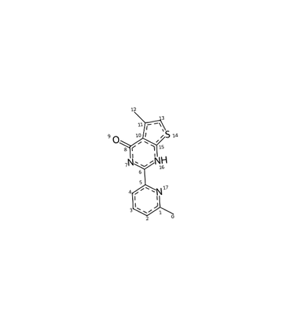 Cc1cccc(-c2nc(=O)c3c(C)csc3[nH]2)n1